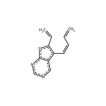 C=C/C=C\c1c(C=C)sc2ncncc12